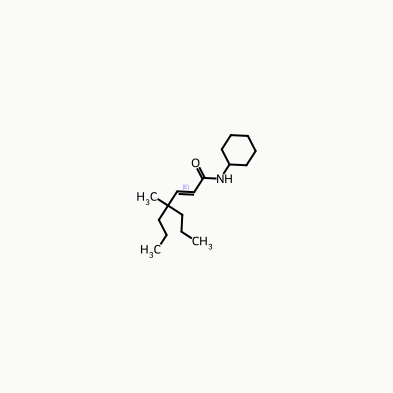 CCCC(C)(/C=C/C(=O)NC1CCCCC1)CCC